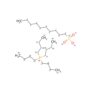 CCCCCCCCCCS(=O)(=O)[O-].CCCC[P+](CCCC)(CCCC)CCCC